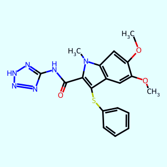 COc1cc2c(Sc3ccccc3)c(C(=O)Nc3nn[nH]n3)n(C)c2cc1OC